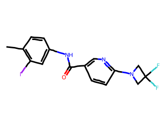 Cc1ccc(NC(=O)c2ccc(N3CC(F)(F)C3)nc2)cc1I